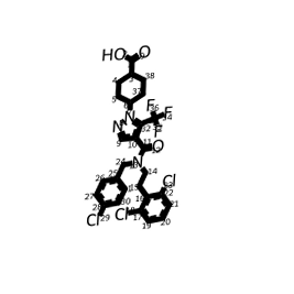 O=C(O)C1CCC(n2ncc(C(=O)N(CCc3c(Cl)cccc3Cl)Cc3ccc(Cl)cc3)c2C(F)(F)F)CC1